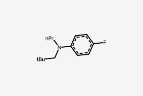 CCCN(CC(C)(C)C)c1ccc(F)cc1